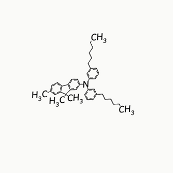 CCCCCCc1cccc(N(c2cccc(CCCCCC)c2)c2ccc3c(c2)C(C)(C)c2cc(C)ccc2-3)c1